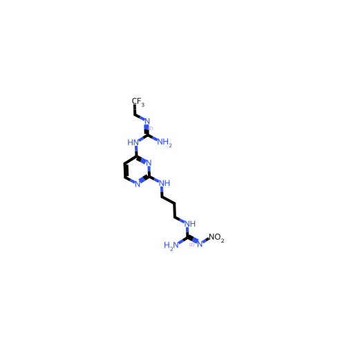 N/C(=N/[N+](=O)[O-])NCCCNc1nccc(N/C(N)=N\CC(F)(F)F)n1